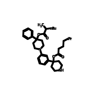 CCCCC(C)C(=O)OC1(c2ccccc2)CCN(c2cccc(C3(OC(=O)CCCC(C)C)CCNCC3)c2)CC1